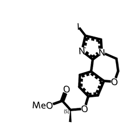 COC(=O)[C@H](C)Oc1ccc2c(c1)OCCn1cc(I)nc1-2